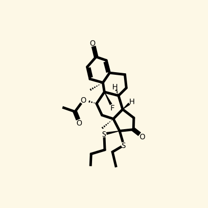 CCCS[C@]1(SCC)C(=O)C[C@H]2[C@@H]3CCC4=CC(=O)C=C[C@]4(C)[C@@]3(F)[C@@H](OC(C)=O)C[C@@]21C